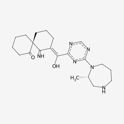 C[C@H]1CNCCCN1c1ncnc(/C(O)=C2\CCC[C@@]3(CCCCC3=O)C2=N)n1